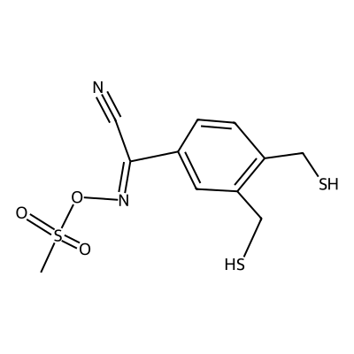 CS(=O)(=O)ON=C(C#N)c1ccc(CS)c(CS)c1